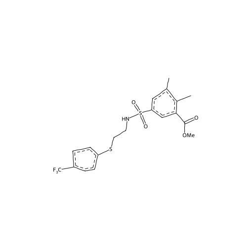 COC(=O)c1cc(S(=O)(=O)NCCSc2ccc(C(F)(F)F)cc2)cc(C)c1C